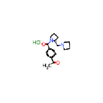 CC(=O)c1ccc(C(=O)N2CCC[C@H]2CN2CCCC2)cc1.Cl